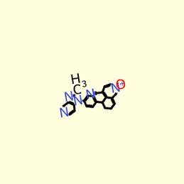 Cc1nc2cnccc2n1-c1ccc(C2CCC=C3C[N+](=O)C=CC(C#N)=C32)cc1